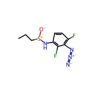 CCC[S+]([O-])Nc1ccc(F)c(N=[N+]=[N-])c1F